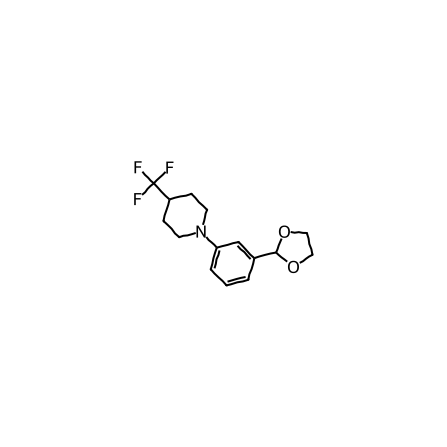 FC(F)(F)C1CCN(c2cccc(C3OCCO3)c2)CC1